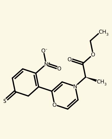 CCOC(=O)[C@@H](C)N1C=COC(C2=C([N+](=O)[O-])C=CC(=S)C2)=C1